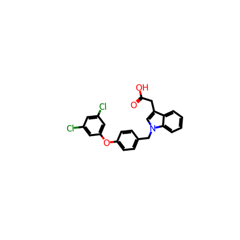 O=C(O)Cc1cn(Cc2ccc(Oc3cc(Cl)cc(Cl)c3)cc2)c2ccccc12